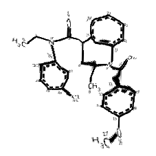 CCN(C(=O)C1CC(C)N(C(=O)c2ccc(OC)cc2)c2ccccc21)c1cccc(Cl)c1